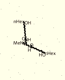 CCCCCCC(O)CC=CCCCCCCCC(=O)NCCN(CCNC)CCNC(=O)CCCCCCCC=CCC(O)CCCCCC